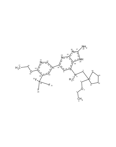 CCOCC1(CN(C)c2cc(-c3cnc(OCC)c(C(F)(F)F)c3)nc3nc(N)[nH]c23)CCCC1